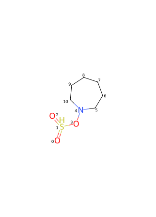 O=[SH](=O)ON1CCCCCC1